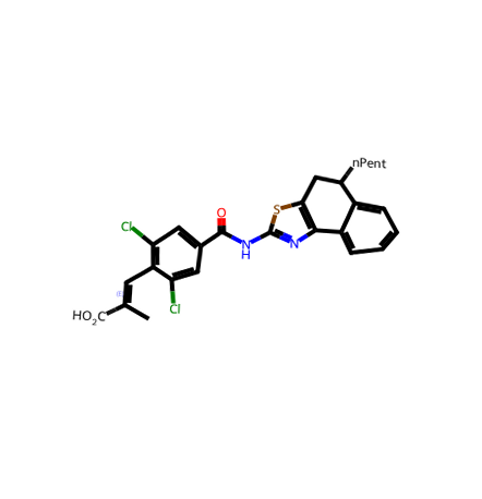 CCCCCC1Cc2sc(NC(=O)c3cc(Cl)c(/C=C(\C)C(=O)O)c(Cl)c3)nc2-c2ccccc21